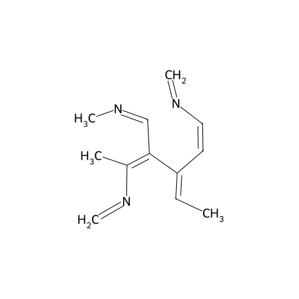 C=N\C=C/C(=C\C)C(/C=N\C)=C(/C)N=C